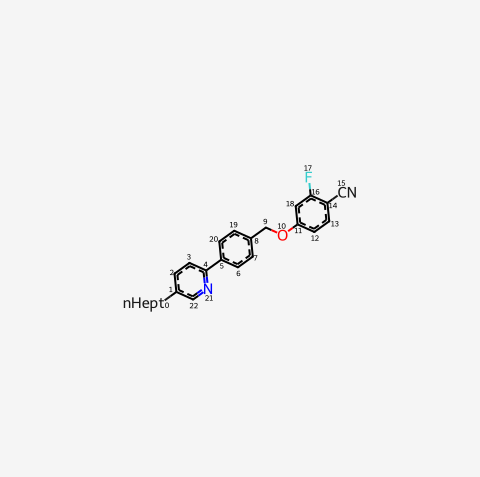 CCCCCCCc1ccc(-c2ccc(COc3ccc(C#N)c(F)c3)cc2)nc1